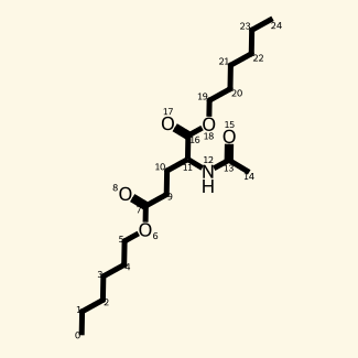 CCCCCCOC(=O)CCC(NC(C)=O)C(=O)OCCCCCC